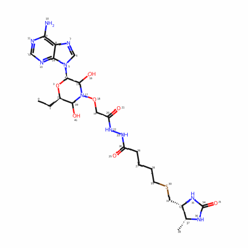 CC[C@H]1O[C@@H](n2cnc3c(N)ncnc32)C(O)N(OCC(=O)NNC(=O)CCCCSC[C@@H]2NC(=O)N[C@@H]2C)C1O